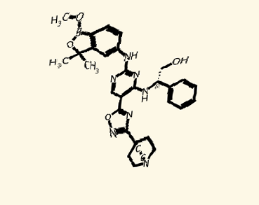 COB1OC(C)(C)c2cc(Nc3ncc(-c4nc(C56CCN(CC5)CC6)no4)c(N[C@H](CO)c4ccccc4)n3)ccc21